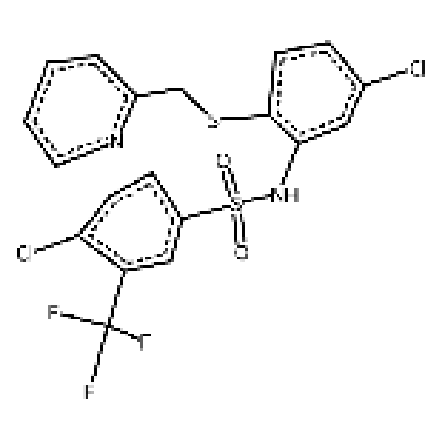 O=S(=O)(Nc1cc(Cl)ccc1SCc1ccccn1)c1ccc(Cl)c(C(F)(F)F)c1